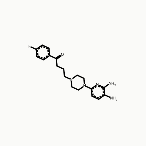 Nc1ccc(N2CCN(CCCC(=O)c3ccc(F)cc3)CC2)nc1N